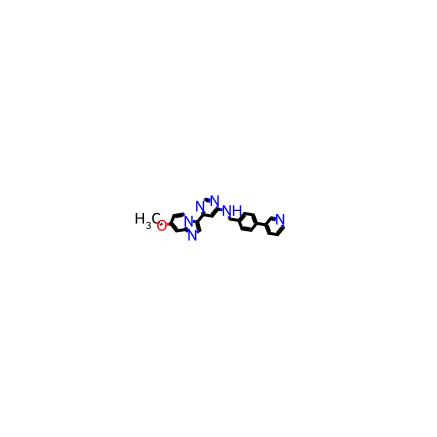 COc1ccn2c(-c3cc(NCc4ccc(-c5cccnc5)cc4)ncn3)cnc2c1